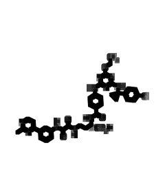 Cc1nccc(-c2cccc(NC(=O)C(=O)NCC[C@H](NC(=O)c3ccc(Nc4nc(NC5(c6ccc(Cl)cc6)CC5)nc(OCC(F)(F)F)n4)cc3)C(=O)O)c2)n1